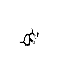 COC(=O)C1CCC(C)CCC1=O